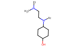 CCN(C)CCN(C(C)=O)C1CCC(O)CC1